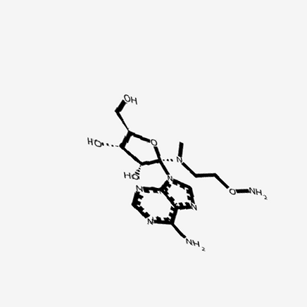 CN(CCON)[C@@]1(n2cnc3c(N)ncnc32)O[C@H](CO)[C@@H](O)[C@H]1O